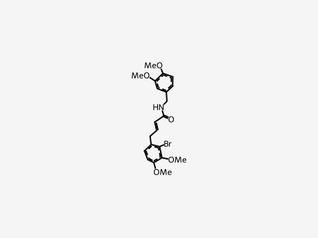 COc1ccc(CNC(=O)C=CCc2ccc(OC)c(OC)c2Br)cc1OC